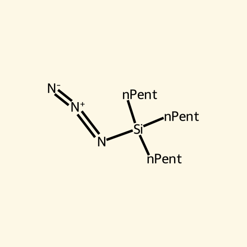 CCCCC[Si](CCCCC)(CCCCC)N=[N+]=[N-]